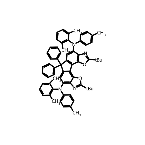 Cc1ccc(N(c2c(C)cccc2C)c2cc3c(c4oc(C(C)(C)C)nc24)-c2c(cc(N(c4ccc(C)cc4)c4c(C)cccc4C)c4nc(C(C)(C)C)oc24)C3(c2ccccc2)c2ccccc2)cc1